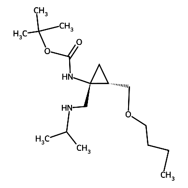 CCCCOC[C@H]1C[C@@]1(CNC(C)C)NC(=O)OC(C)(C)C